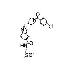 Cc1c(C(=O)NCC[S+](C)[O-])ccc2nn(CC3CCN(C(=O)c4ccc(Cl)cc4)CC3)cc12